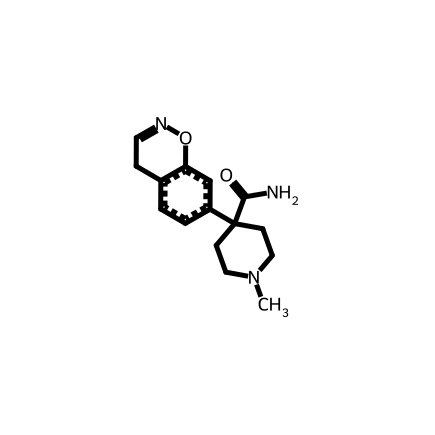 CN1CCC(C(N)=O)(c2ccc3c(c2)ON=CC3)CC1